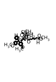 COC(=O)NCCCCCC(=O)NCC(COC(c1ccccc1)(c1ccc(OC)cc1)c1ccc(OC)cc1)OP(OC)N(C(C)C)C(C)C